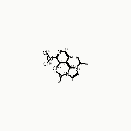 CC(C)N1C=CN(C(C)C)C1=C1C=CN=[C]([Pd]([Cl])[Cl])C1Cl